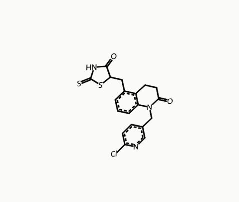 O=C1NC(=S)SC1Cc1cccc2c1CCC(=O)N2Cc1ccc(Cl)nc1